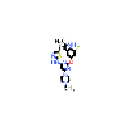 Cc1cc2cc(Oc3nc(Nc4ncc(C#N)s4)cc(N4CCN(C)CC4)n3)cc(F)c2[nH]1